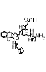 N=C(N)NCCCN(CC(=O)NCC(=O)O)C(=O)CN(Cc1ccccc1)C(=O)CNCCC1=NCC=N1